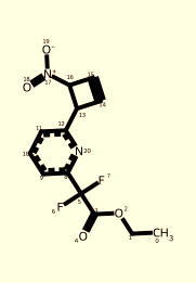 CCOC(=O)C(F)(F)c1cccc(C2C#CC2[N+](=O)[O-])n1